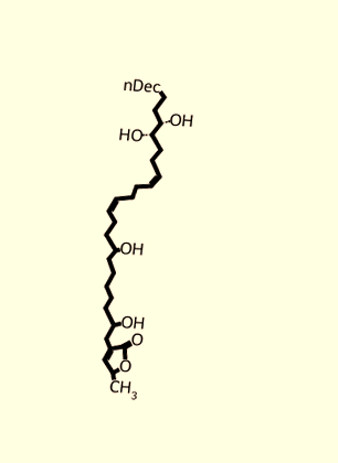 CCCCCCCCCCCC[C@H](O)[C@@H](O)CC/C=C\CC/C=C\CCC(O)CCCCCC(O)CC1=CC(C)OC1=O